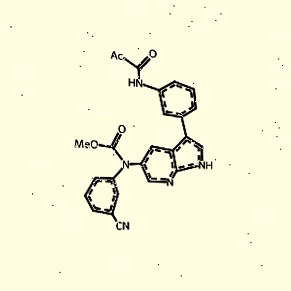 COC(=O)N(c1cccc(C#N)c1)c1cnc2[nH]cc(-c3cccc(NC(=O)C(C)=O)c3)c2c1